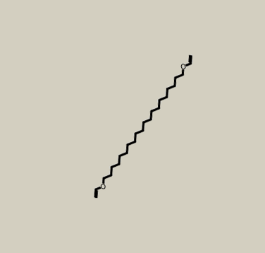 C=COCCCCCCCCCCCCCCCCCCCCOC=C